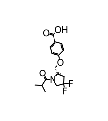 CC(C)C(=O)N1CC(F)(F)C[C@H]1COc1ccc(C(=O)O)cc1